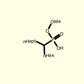 CCCCCCCC(CCCCCC)P(=O)(O)OOC